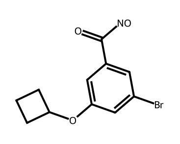 O=NC(=O)c1cc(Br)cc(OC2CCC2)c1